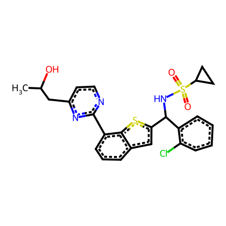 CC(O)Cc1ccnc(-c2cccc3cc(C(NS(=O)(=O)C4CC4)c4ccccc4Cl)sc23)n1